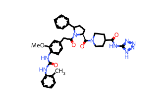 COc1cc(CC(=O)N2C(c3ccccc3)CC[C@H]2C(=O)N2CCC(C(=O)Nc3nnn[nH]3)CC2)ccc1NC(=O)Nc1ccccc1C